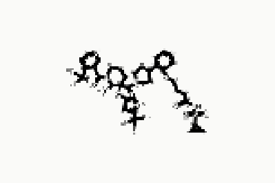 CC1N(C(=O)c2cnccc2C(F)(F)F)CCC[C@@]1(Oc1csc(C(F)(F)F)c1)C(=O)N1CCC(c2ccccc2OCCCC(=O)NS(=O)(=O)C2CC2)CC1